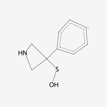 OSC1(c2cc[c]cc2)CNC1